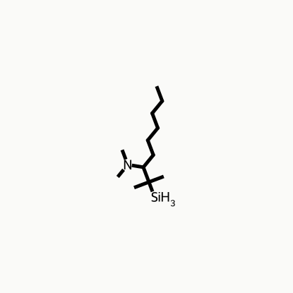 CCCCCCC(N(C)C)C(C)(C)[SiH3]